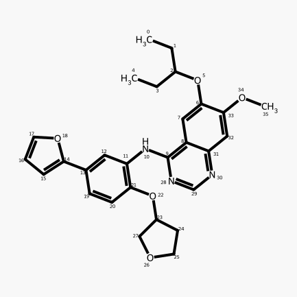 CCC(CC)Oc1cc2c(Nc3cc(-c4ccco4)ccc3OC3CCOC3)ncnc2cc1OC